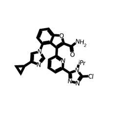 CC(C)n1c(Cl)nnc1-c1cccc(-c2c(C(N)=O)oc3cccc(-n4cnc(C5CC5)c4)c23)n1